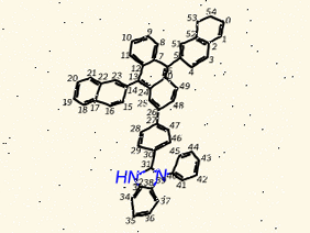 C1=Cc2ccc(-c3c4ccccc4c(-c4ccc5ccccc5c4)c4cc(-c5ccc(C6Nc7ccccc7N6c6ccccc6)cc5)ccc34)cc2CC1